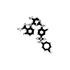 Cc1cc(S(=O)(=O)NC2CCCC(I)CC2)ccc1Nc1ncc(Br)c(Nc2cccc(F)c2C(N)=O)n1